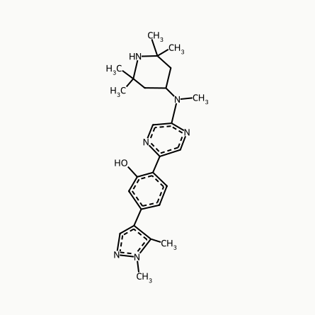 Cc1c(-c2ccc(-c3cnc(N(C)C4CC(C)(C)NC(C)(C)C4)cn3)c(O)c2)cnn1C